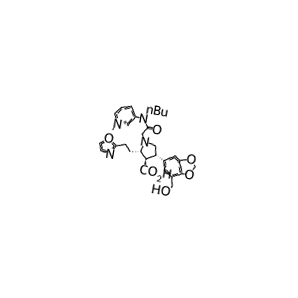 CCCCN(C(=O)CN1C[C@H](c2cc(CO)c3c(c2)OCO3)[C@@H](C(=O)O)[C@@H]1CCc1ncco1)c1ccc[n+](C)c1